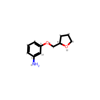 Nc1cccc(OCC2CCCO2)c1